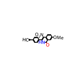 C#Cc1ccc(-c2[nH]c(=O)c3cc(OC)ccc3c2[N+](=O)[O-])cc1